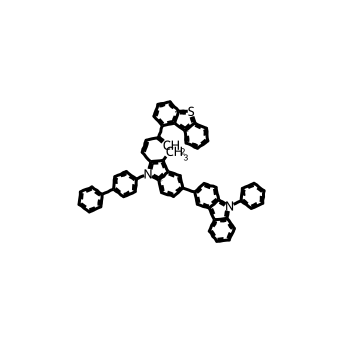 C=C(/C=C\c1c(C)c2cc(-c3ccc4c(c3)c3ccccc3n4-c3ccccc3)ccc2n1-c1ccc(-c2ccccc2)cc1)c1cccc2sc3ccccc3c12